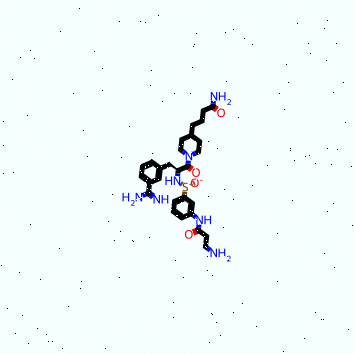 N=C(N)c1cccc(C[C@H](N[S+]([O-])c2cccc(NC(=O)CCN)c2)C(=O)N2CCC(CCCC(N)=O)CC2)c1